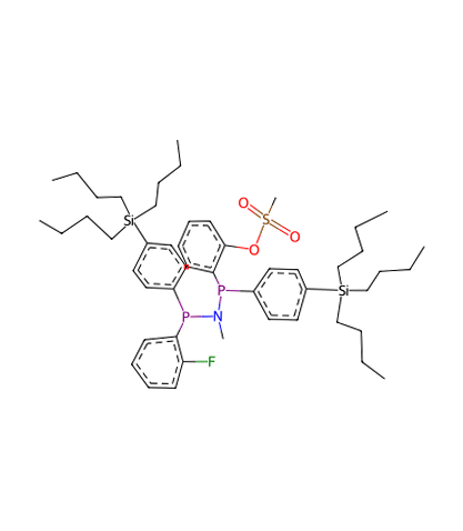 CCCC[Si](CCCC)(CCCC)c1ccc(P(c2ccccc2F)N(C)P(c2ccc([Si](CCCC)(CCCC)CCCC)cc2)c2ccccc2OS(C)(=O)=O)cc1